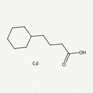 O=C(O)CCCC1CCCCC1.[Cd]